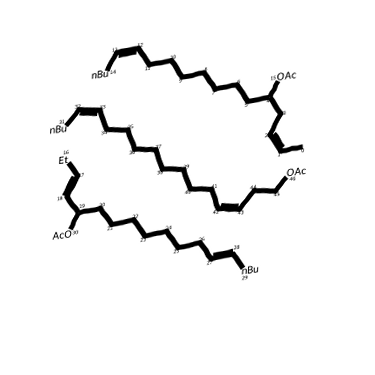 C/C=C\CC(CCCCCCC/C=C\CCCC)OC(C)=O.CCC=CC(CCCCCCCC=CCCCC)OC(C)=O.CCCC/C=C\CCCCCCCC/C=C\CCOC(C)=O